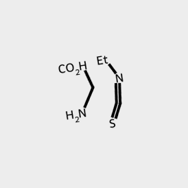 CCN=C=S.NCC(=O)O